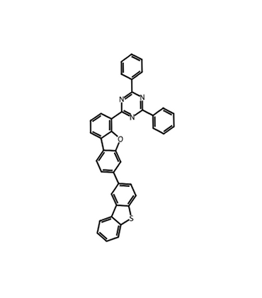 c1ccc(-c2nc(-c3ccccc3)nc(-c3cccc4c3oc3cc(-c5ccc6sc7ccccc7c6c5)ccc34)n2)cc1